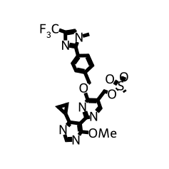 COc1ncnc(C2CC2)c1-c1ncc(COS(C)(=O)=O)c(OCc2ccc(-c3nc(C(F)(F)F)cn3C)cc2)n1